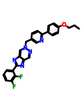 CCCOc1ccc(-c2ccc(Cn3cc4nc(-c5cccc(F)c5F)nc-4cn3)cn2)cc1